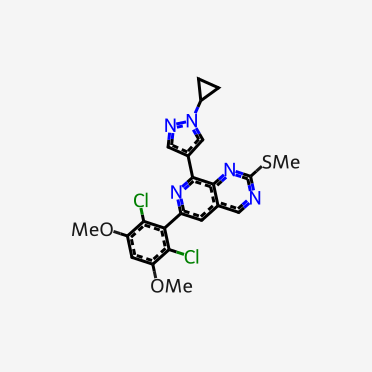 COc1cc(OC)c(Cl)c(-c2cc3cnc(SC)nc3c(-c3cnn(C4CC4)c3)n2)c1Cl